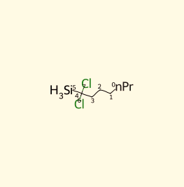 CCCCCCC([SiH3])(Cl)Cl